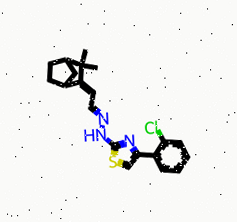 CC1(C)C(=CC=NNc2nc(-c3ccccc3Cl)cs2)C2CCC1C2